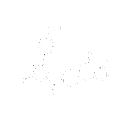 CC(C)n1ncc2c1C(=O)CC1(CCN(C(=O)c3cc(-c4ccc(C(=O)O)cc4)nc(N(C)C)c3)CC1)C2